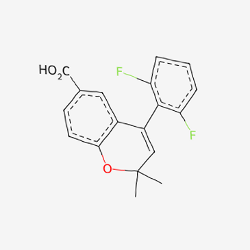 CC1(C)C=C(c2c(F)cccc2F)c2cc(C(=O)O)ccc2O1